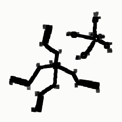 C=CC[N+](CC=C)(CC=C)CC=C.[O-][Cl+3]([O-])([O-])[O-]